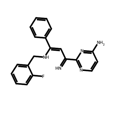 N=C(/C=C(\NCc1ccccc1F)c1ccccc1)c1nccc(N)n1